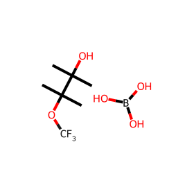 CC(C)(O)C(C)(C)OC(F)(F)F.OB(O)O